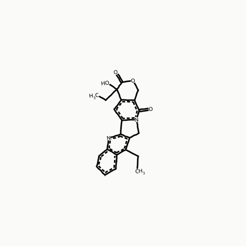 CCc1c2c(nc3cc[c]cc13)-c1cc3c(c(=O)n1C2)COC(=O)C3(O)CC